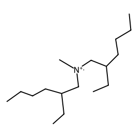 CCCCC(CC)C[N+](C)CC(CC)CCCC